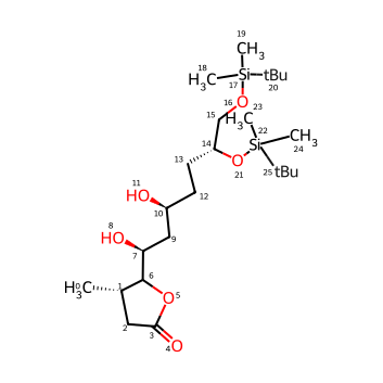 C[C@H]1CC(=O)OC1[C@@H](O)C[C@@H](O)CC[C@H](CO[Si](C)(C)C(C)(C)C)O[Si](C)(C)C(C)(C)C